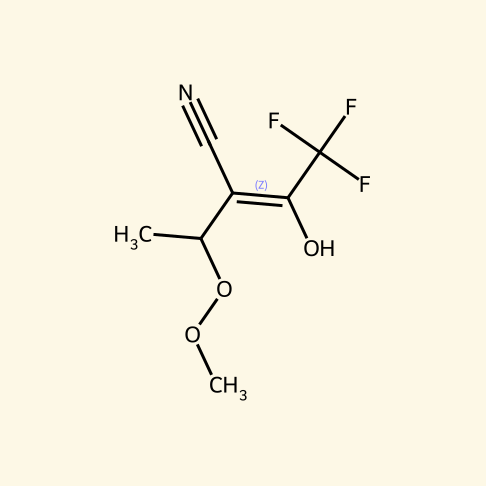 COOC(C)/C(C#N)=C(\O)C(F)(F)F